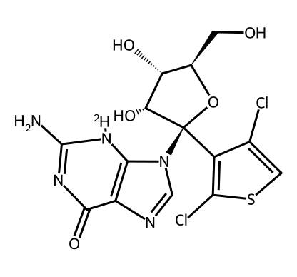 [2H]n1c(N)nc(=O)c2ncn([C@]3(c4c(Cl)csc4Cl)O[C@H](CO)[C@@H](O)[C@H]3O)c21